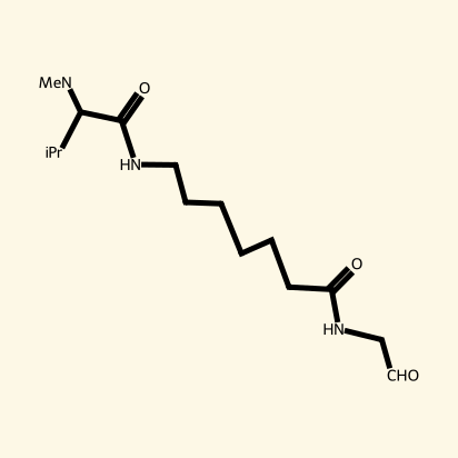 CNC(C(=O)NCCCCCCC(=O)NCC=O)C(C)C